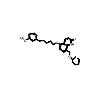 COc1cccc(CCCCCOc2ccc(COC3CCCCO3)c3[nH]c(=O)ccc23)c1